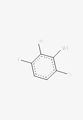 Nc1c(Br)ccc(F)c1O